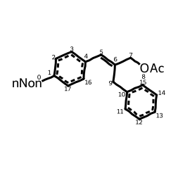 CCCCCCCCCc1ccc(C=C(COC(C)=O)Cc2ccccc2)cc1